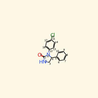 O=C1NCC(c2ccccc2)N1c1ccc(Cl)cc1